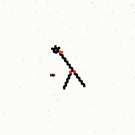 Br.CCCCCCCCCOC(CCCCCC=CCCCPc1ccc(C)c(C)c1C)OCCCCCCCCC